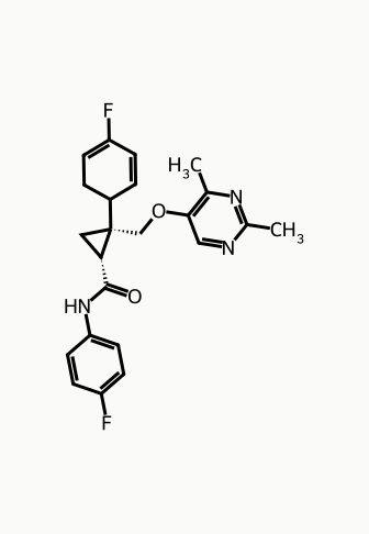 Cc1ncc(OC[C@@]2(C3C=CC(F)=CC3)C[C@H]2C(=O)Nc2ccc(F)cc2)c(C)n1